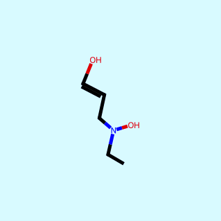 CCN(O)CC=CO